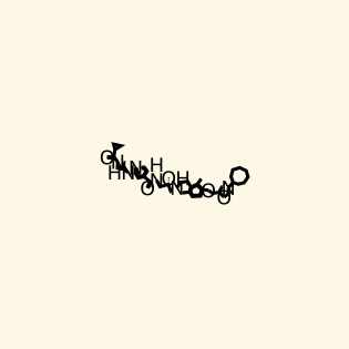 Cc1c(OCC2CN(C3CCCCCCC3)CO2)ccc2c1CCN(C[C@@H](O)CNC(=O)c1ccnc(NC3CN(C(=O)C4CC4)C3)c1)C2